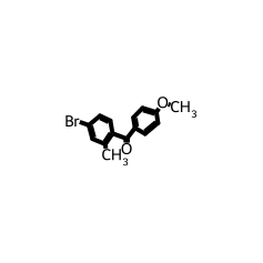 COc1ccc(C(=O)c2ccc(Br)cc2C)cc1